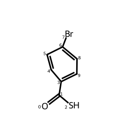 O=C(S)c1ccc(Br)cc1